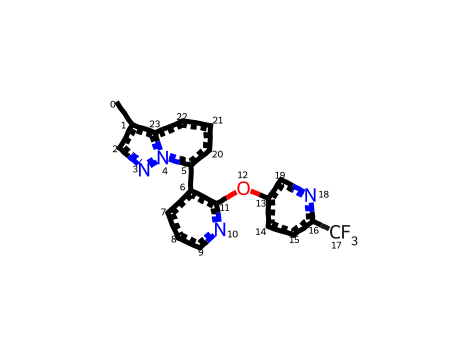 Cc1cnn2c(-c3cccnc3Oc3ccc(C(F)(F)F)nc3)cccc12